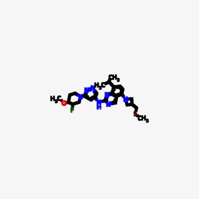 COC1CCN(c2cc(Nc3ncc4c(N5CC(CSC)C5)ccc(C(C)C)c4n3)cnn2)CC1F